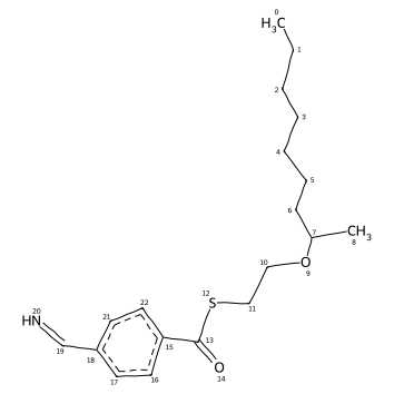 CCCCCCCC(C)OCCSC(=O)c1ccc(C=N)cc1